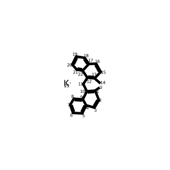 Cc1ccc2ccccc2c1Cc1c(C)ccc2ccccc12.[K]